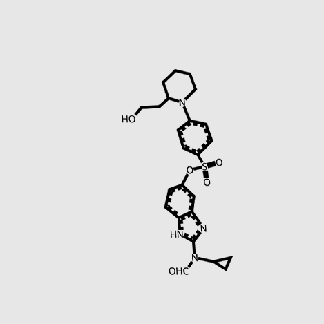 O=CN(c1nc2cc(OS(=O)(=O)c3ccc(N4CCCCC4CCO)cc3)ccc2[nH]1)C1CC1